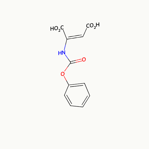 O=C(O)C=C(NC(=O)Oc1ccccc1)C(=O)O